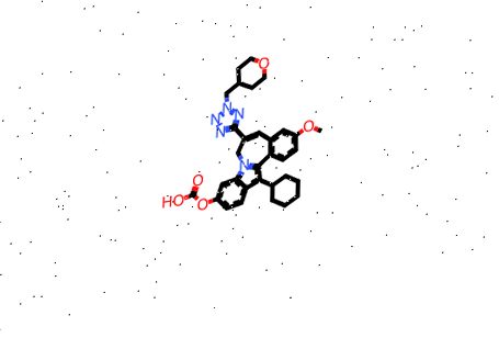 COc1ccc2c(c1)C=C(c1nnn(CC3CCOCC3)n1)Cn1c-2c(C2CCCCC2)c2ccc(OC(=O)O)cc21